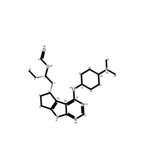 CC[C@@H](C[C@H]1CCc2sc3ncnc(OC4CCC(N(C)C)CC4)c3c21)OC=O